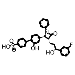 O=C1[C@H](CC[C@H](O)c2cccc(F)c2)[C@@H](c2ccc(-c3ccc(S(=O)(=O)O)cc3)c(O)c2)N1c1ccccc1